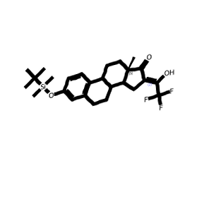 CC(C)(C)[Si](C)(C)Oc1ccc2c(c1)CCC1C2CC[C@]2(C)C(=O)/C(=C(\O)C(F)(F)F)CC12